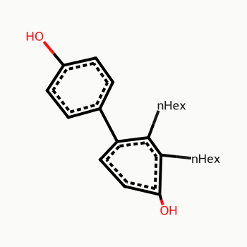 CCCCCCc1c(O)ccc(-c2ccc(O)cc2)c1CCCCCC